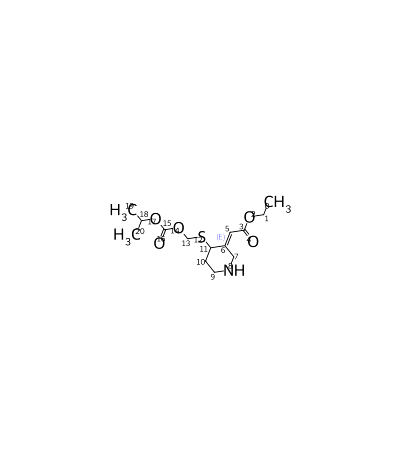 CCOC(=O)/C=C1\CNCCC1SCOC(=O)OC(C)C